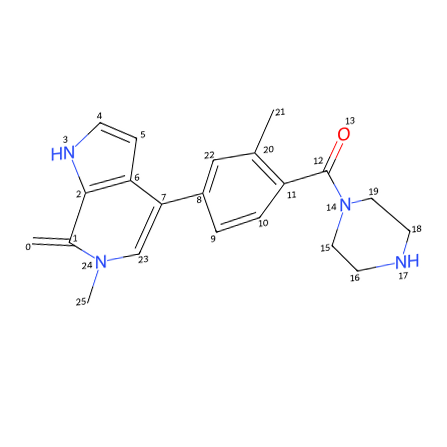 C=C1c2[nH]ccc2C(c2ccc(C(=O)N3CCNCC3)c(C)c2)=CN1C